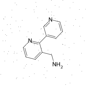 NCc1cccnc1-c1cccnc1